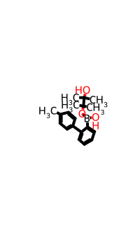 Cc1ccc(-c2ccccc2B(O)OC(C)(C)C(C)(C)O)cc1